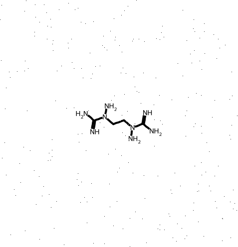 N=C(N)N(N)CCN(N)C(=N)N